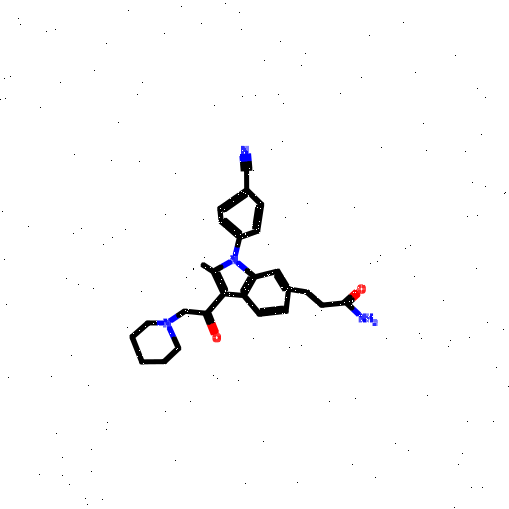 Cc1c(C(=O)CN2CCCCC2)c2ccc(CCC(N)=O)cc2n1-c1ccc(C#N)cc1